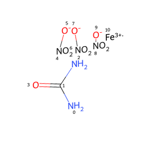 NC(N)=O.O=[N+]([O-])[O-].O=[N+]([O-])[O-].O=[N+]([O-])[O-].[Fe+3]